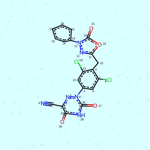 N#Cc1nn(-c2cc(Cl)c(Cc3nn(-c4ccccc4)c(=O)o3)c(Cl)c2)c(=O)[nH]c1=O